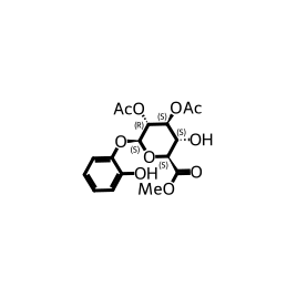 COC(=O)[C@H]1O[C@@H](Oc2ccccc2O)[C@H](OC(C)=O)[C@@H](OC(C)=O)[C@@H]1O